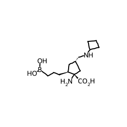 N[C@@]1(C(=O)O)C[C@@H](CNC2CCC2)C[C@@H]1CCCB(O)O